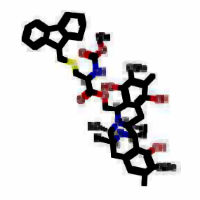 COc1c(C)cc2c(c1O)[C@@H]1[C@@H]3Cc4c(O)c(C)c(OC)c(O)c4[C@H](COC(=O)[C@@H](CSCC4c5ccccc5-c5ccccc54)NC(=O)OC(C)(C)C)N3[C@@H](C#N)[C@@H](C2)N1C